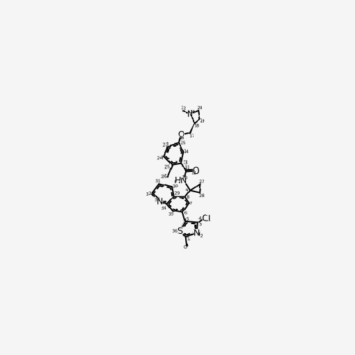 Cc1nc(Cl)c(-c2cc(C3(NC(=O)c4cc(OC[C@@H]5CCN5C)ccc4C)CC3)c3cccnc3c2)s1